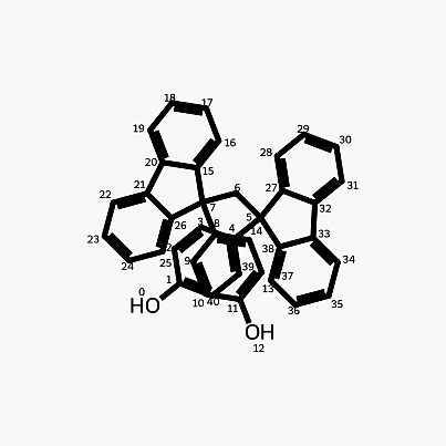 Oc1ccc(C2(CC3(c4ccc(O)cc4)c4ccccc4-c4ccccc43)c3ccccc3-c3ccccc32)cc1